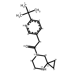 CC(C)(C)c1ccc(CC(=O)N2CCNC3(CC3)C2)cn1